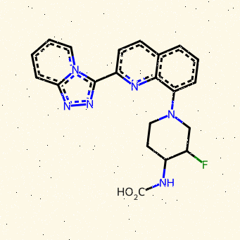 O=C(O)NC1CCN(c2cccc3ccc(-c4nnc5ccccn45)nc23)CC1F